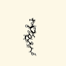 CC(c1cnc(OCC(C)(F)F)c(Cl)c1)N1Cc2c(ccnc2C(=O)NCCO)C1=O